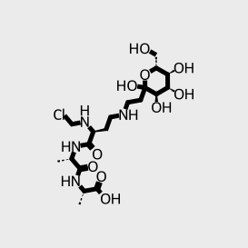 C[C@H](NC(=O)[C@H](C)NC(=O)[C@H](CCNCCC1(O)O[C@H](CO)[C@H](O)[C@H](O)[C@H]1O)NCCl)C(=O)O